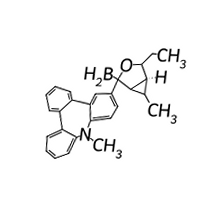 BC1(c2ccc3c(c2)-c2ccccc2-c2ccccc2N3C)OC(CC)[C@H]2C(C)C21